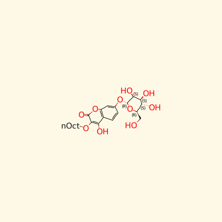 CCCCCCCCOc1c(O)c2ccc(O[C@H]3O[C@H](CO)[C@@H](O)[C@H](O)[C@@H]3O)cc2oc1=O